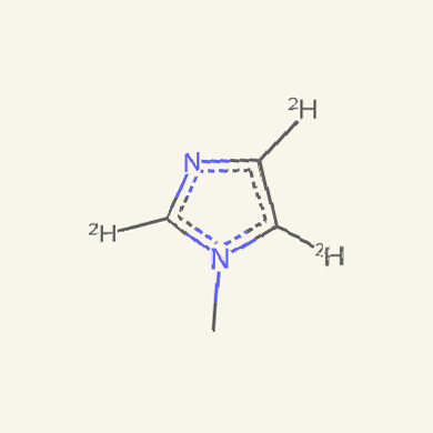 [2H]c1nc([2H])n(C)c1[2H]